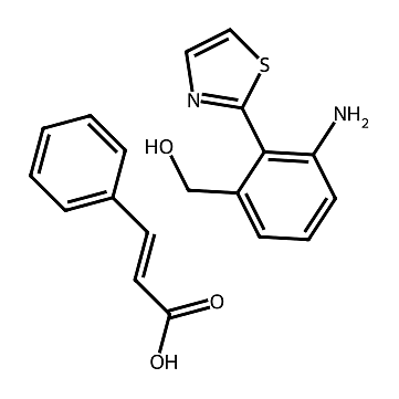 Nc1cccc(CO)c1-c1nccs1.O=C(O)C=Cc1ccccc1